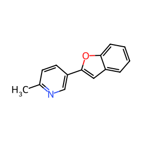 Cc1ccc(-c2cc3ccccc3o2)cn1